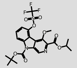 COc1c(C(=O)OC(C)C)ncc2c1c1c(OS(=O)(=O)C(F)(F)F)cccc1n2C(=O)OC(C)(C)C